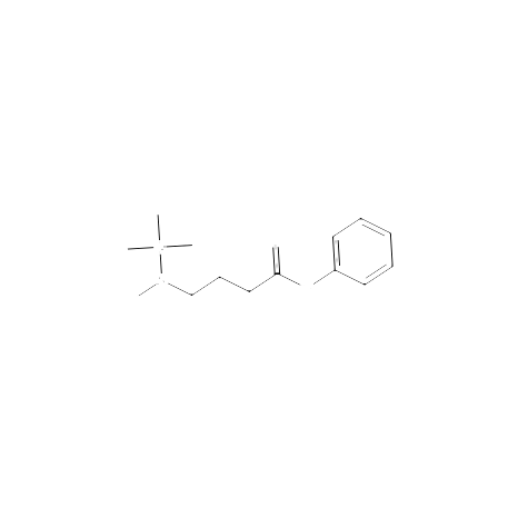 CCN(CCCC(=O)Oc1ccccc1)[Si](C)(C)C